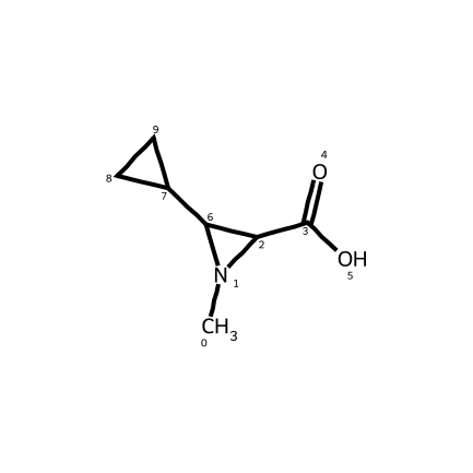 CN1C(C(=O)O)C1C1CC1